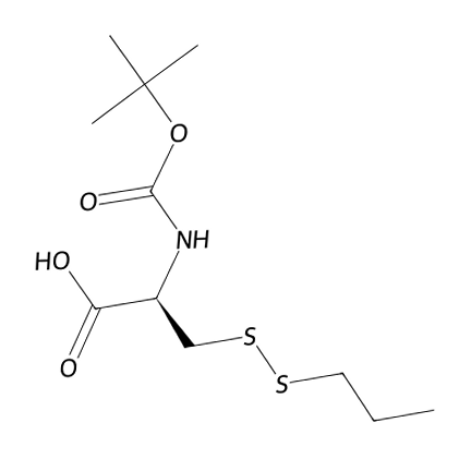 CCCSSC[C@H](NC(=O)OC(C)(C)C)C(=O)O